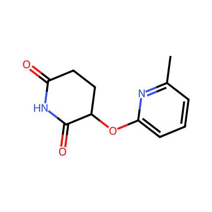 Cc1cccc(OC2CCC(=O)NC2=O)n1